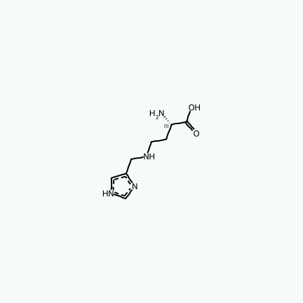 N[C@@H](CCNCc1c[nH]cn1)C(=O)O